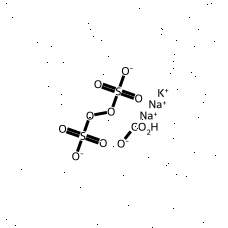 O=C([O-])O.O=S(=O)([O-])OOS(=O)(=O)[O-].[K+].[Na+].[Na+]